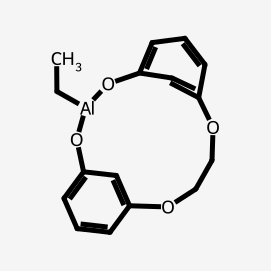 C[CH2][Al]1[O]c2cccc(c2)OCCOc2cccc(c2)[O]1